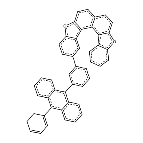 C1=CCCC(c2c3ccccc3c(-c3cccc(-c4ccc5oc6ccc7ccc8oc9ccccc9c8c7c6c5c4)c3)c3ccccc23)=C1